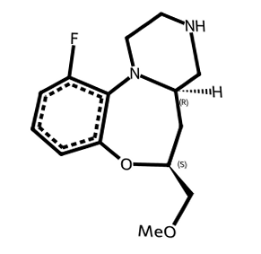 COC[C@@H]1C[C@@H]2CNCCN2c2c(F)cccc2O1